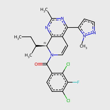 CCC(C)[C@H]1c2nc(C)nc(-c3ccnn3C)c2C=CN1C(=O)c1ccc(Cl)c(F)c1Cl